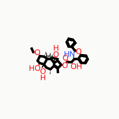 CCO[C@@H]1C[C@H](O)[C@]2(C)[C@@H]([C@H]1C)[C@H](C)[C@]1(C(C)(C)O)C[C@H](OC(=O)[C@H](O)[C@@H](NC(=O)c3ccccc3)c3ccccc3)C(C)=C1[C@H](C)[C@@H]2O